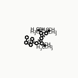 CC(C)(C)c1ccc2c(c1)c1cc(C(C)(C)C)cc3c4cc5c(cc4n2c13)c1cc(C(C)(C)C)cc2c3ccc(N(c4ccccc4)c4cccc6c4oc4c(-c7ccccc7)cccc46)cc3n5c21